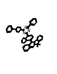 CC1(C)c2ccccc2-c2c1cc1ccccc1c2-c1ccc(-c2nc(-c3ccccc3)nc(-c3ccc(-c4ccccc4)cc3)n2)c2ccccc12